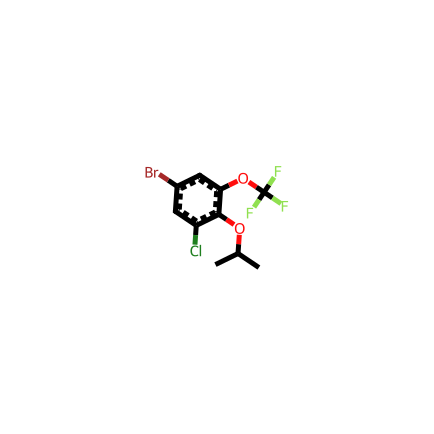 CC(C)Oc1c(Cl)cc(Br)cc1OC(F)(F)F